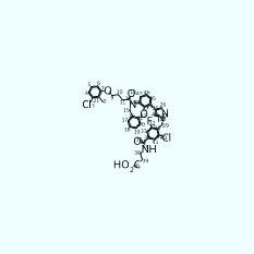 Cc1c(Cl)cccc1OCCCC(=O)N1Cc2ccccc2Oc2c(-c3cnn(Cc4c(F)cc(C(=O)NCCC(=O)O)cc4Cl)c3)cccc21